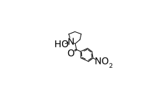 O=C(c1ccc([N+](=O)[O-])cc1)C1CCCCN1O